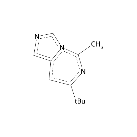 Cc1nc(C(C)(C)C)cc2cncn12